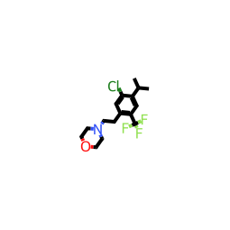 CC(C)c1cc(C(F)(F)F)c(CCN2CCOCC2)cc1Cl